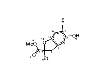 CCC1(C(=O)OC)Cc2cc(O)c(F)cc2O1